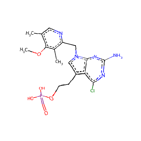 COc1c(C)cnc(Cn2cc(CCOP(=O)(O)O)c3c(Cl)nc(N)nc32)c1C